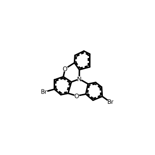 Brc1ccc2c(c1)Oc1cc(Br)cc3c1N2c1ccccc1O3